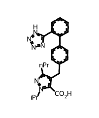 CCCc1nn(C(C)C)c(C(=O)O)c1Cc1ccc(-c2ccccc2-c2nnn[nH]2)cc1